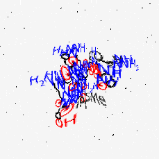 CSCC[C@H](NC(=O)[C@@H](NC(=O)[C@H](Cc1ccc(O)cc1)NC(=O)[C@@H](N)CCCCN)C(C)C)C(=O)NCC(=O)N[C@@H](Cc1c[nH]cn1)C(=O)N[C@@H](Cc1ccccc1)C(=O)N[C@@H](CCCNC(=N)N)C(=O)N[C@H](Cc1c[nH]c2ccccc12)C(=O)N[C@@H](CC(=O)O)C(=O)N[C@@H](CCCNC(=N)N)C(=O)N[C@@H](Cc1ccccc1)C(=O)NCC(N)=O